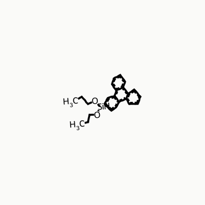 CCCO[SiH](OCCC)c1ccc2c3ccccc3c3ccccc3c2c1